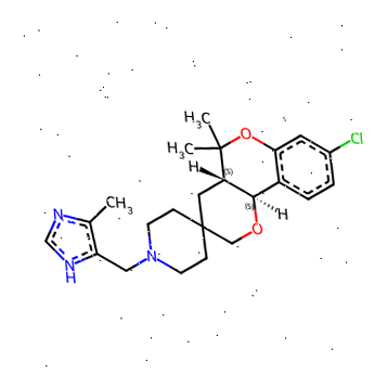 Cc1nc[nH]c1CN1CCC2(CC1)CO[C@@H]1c3ccc(Cl)cc3OC(C)(C)[C@H]1C2